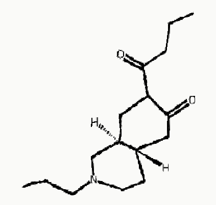 CCCC(=O)C1C[C@@H]2CN(CCC)CC[C@H]2CC1=O